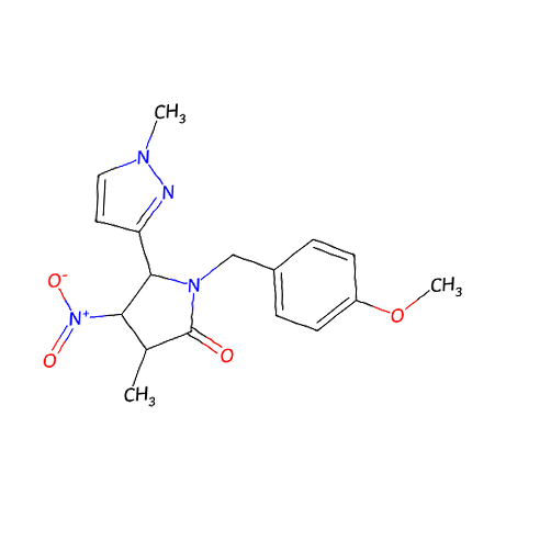 COc1ccc(CN2C(=O)C(C)C([N+](=O)[O-])C2c2ccn(C)n2)cc1